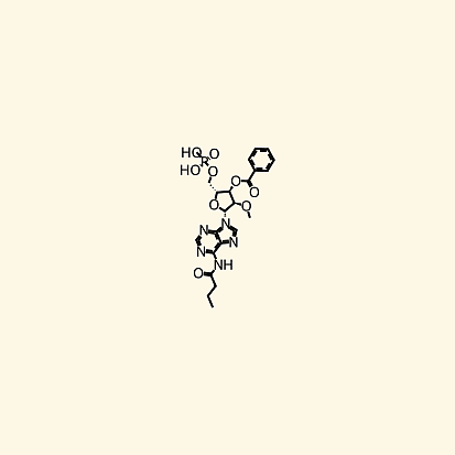 CCCC(=O)Nc1ncnc2c1ncn2[C@@H]1O[C@H](COP(=O)(O)O)[C@@H](OC(=O)c2ccccc2)[C@H]1OC